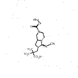 CC(C)(C)OC(=O)N1CCN2/C(=N\C#N)N(CC(C)(C)C(=O)O)CC2C1